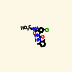 Cc1cccc(C)c1NC(=O)Nc1cc(Cl)ccc1C(=O)NCC(=O)O